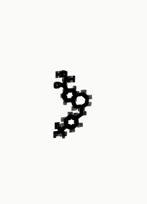 O=C(NO)c1ccc2c(c1)CCCN(Cc1ccc(C(F)(F)F)cc1)C2